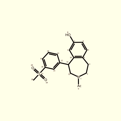 CC(=O)N1CCc2ccc(O)cc2C(c2cccc(S(C)(=O)=O)c2)C1